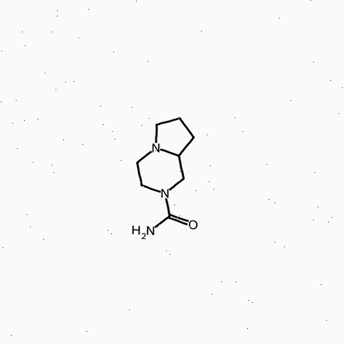 NC(=O)N1CCN2CCCC2C1